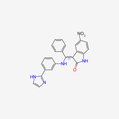 O=C1Nc2ccc([N+](=O)[O-])cc2/C1=C(/Nc1cccc(-c2ncc[nH]2)c1)c1ccccc1